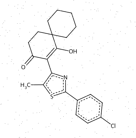 Cc1sc(-c2ccc(Cl)cc2)nc1C1=C(O)C2(CCCCC2)CCC1=O